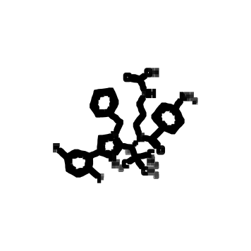 CC(C)(C)[C@H](c1nc(-c2cc(F)ccc2F)cn1Cc1ccccc1)N(CCCNC(=O)O)C(=O)c1ccc(N)cc1